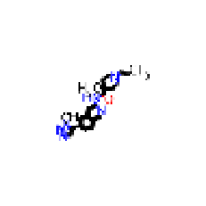 Cn1nncc1-c1ccc2cnc(NC(=O)C3(C)CCN(CCC(F)(F)F)CC3)cc2c1